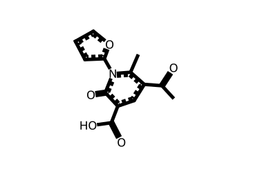 CC(=O)c1cc(C(=O)O)c(=O)n(-c2ccco2)c1C